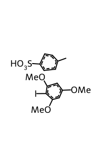 COc1cc(OC)c(I)c(OC)c1.Cc1ccc(S(=O)(=O)O)cc1